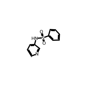 O=S(=O)(Nc1cc[c]nc1)c1ccccc1